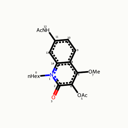 CCCCCCn1c(=O)c(OC(C)=O)c(OC)c2ccc(NC(C)=O)cc21